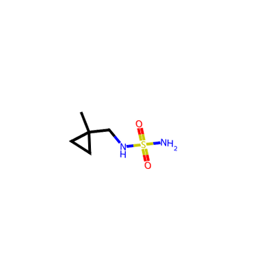 CC1(CNS(N)(=O)=O)CC1